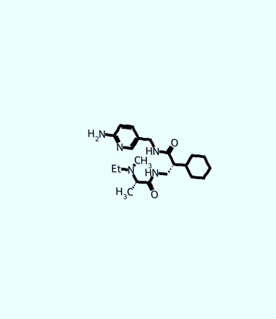 CCN(C)[C@@H](C)C(=O)NC[C@H](C(=O)NCc1ccc(N)nc1)C1CCCCC1